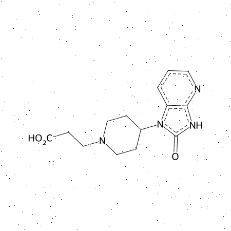 O=C(O)CCN1CCC(n2c(=O)[nH]c3ncccc32)CC1